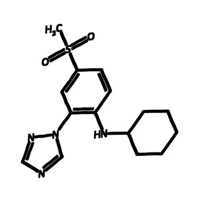 CS(=O)(=O)c1ccc(NC2CCCCC2)c(-n2cncn2)c1